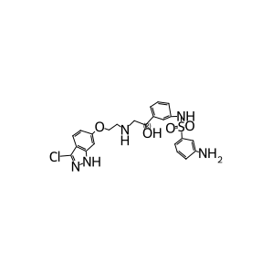 Nc1cccc(S(=O)(=O)Nc2cccc([C@@H](O)CNCCOc3ccc4c(Cl)n[nH]c4c3)c2)c1